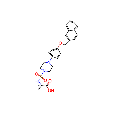 C[C@@H](NS(=O)(=O)N1CCN(c2ccc(OCc3ccc4ccccc4c3)cc2)CC1)C(=O)O